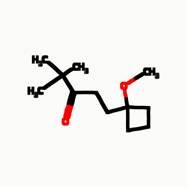 COC1(CCC(=O)C(C)(C)C)CCC1